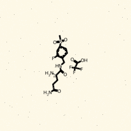 CS(=O)(=O)c1ccc(CNC(=O)[C@@H](N)CCC(N)=O)c(F)c1.O=C(O)C(F)(F)F